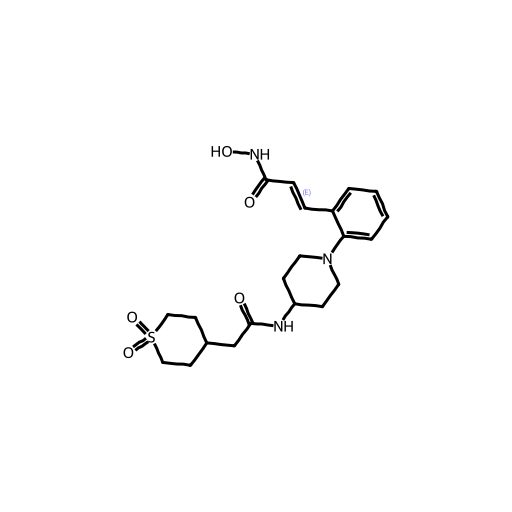 O=C(/C=C/c1ccccc1N1CCC(NC(=O)CC2CCS(=O)(=O)CC2)CC1)NO